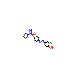 O=S(=O)(Nc1ccccn1)c1ccc(/N=N/c2ccc(O)c(Br)c2)cc1